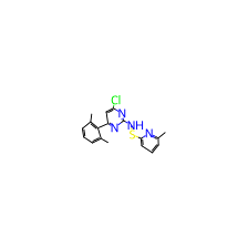 Cc1cccc(SNc2nc(Cl)cc(-c3c(C)cccc3C)n2)n1